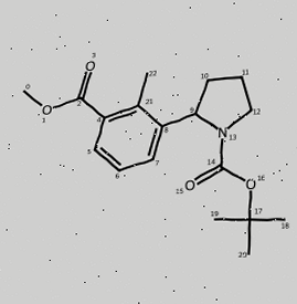 COC(=O)c1cccc(C2CCCN2C(=O)OC(C)(C)C)c1C